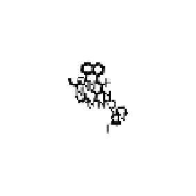 C=CC(=O)N1CC[C@@H](N(C)c2nc(OC[C@@]34CCCN3C[C@H](F)C4)nc3c(F)c(-c4cccc5cccc(C#N)c45)ncc23)C1